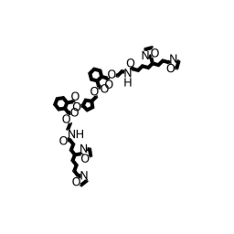 O=C(CCCC(CCC1=NCCO1)C1=NCCO1)NCCOC(=O)C1CCCCC1C(=O)OCC1CCC(OC(=O)C2CCCCC2C(=O)OCCNC(=O)CCC(CCCC2=NCCO2)C2=NCCO2)C1